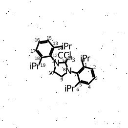 CC(C)c1cccc(C(C)C)c1N1CCN(c2c(C(C)C)cccc2C(C)C)C1C(Cl)(Cl)Cl